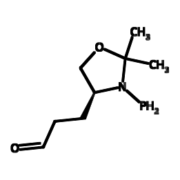 CC1(C)OC[C@H](CCC=O)N1P